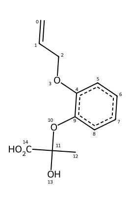 C=CCOc1ccccc1OC(C)(O)C(=O)O